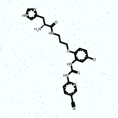 N#Cc1ccc(NC(=O)Nc2cc(Cl)ccc2OCCCNC(=O)[C@@H](N)Cc2c[nH]cn2)nc1